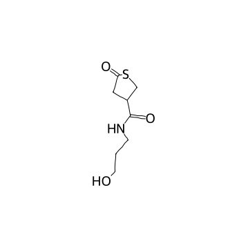 O=C1CC(C(=O)NCCCO)CS1